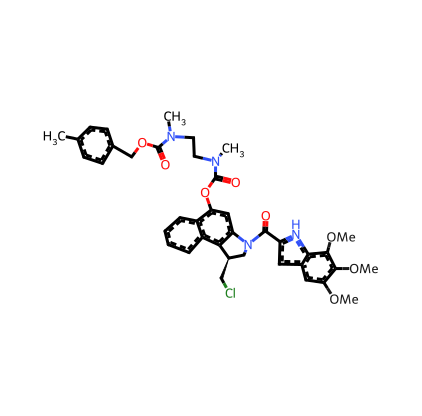 COc1cc2cc(C(=O)N3C[C@@H](CCl)c4c3cc(OC(=O)N(C)CCN(C)C(=O)OCc3ccc(C)cc3)c3ccccc43)[nH]c2c(OC)c1OC